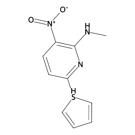 CNc1nc([SH]2C=CC=C2)ccc1[N+](=O)[O-]